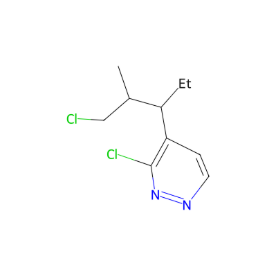 CCC(c1ccnnc1Cl)C(C)CCl